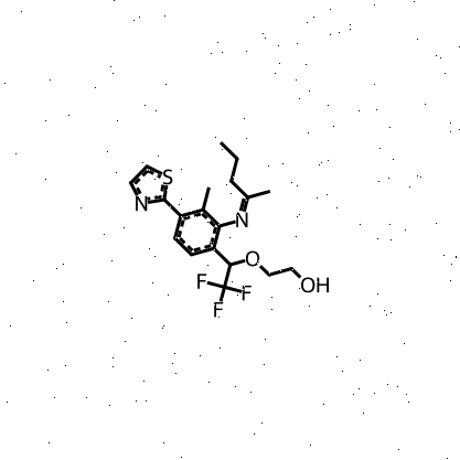 CCC/C(C)=N\c1c(C(OCCO)C(F)(F)F)ccc(-c2nccs2)c1C